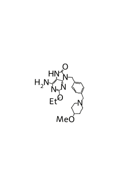 CCOc1nc(N)c2[nH]c(=O)n(Cc3ccc(CN4CCC(OC)CC4)cc3)c2n1